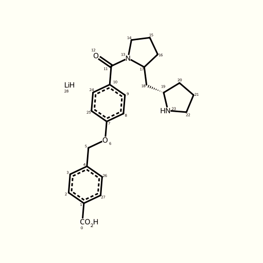 O=C(O)c1ccc(COc2ccc(C(=O)N3CCCC3C[C@@H]3CCCN3)cc2)cc1.[LiH]